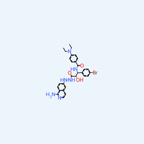 CCN(CC)c1ccc(C(=O)NC(c2ccc(Br)cc2)C(O)C(=O)NNc2ccc3c(N)nccc3c2)cc1